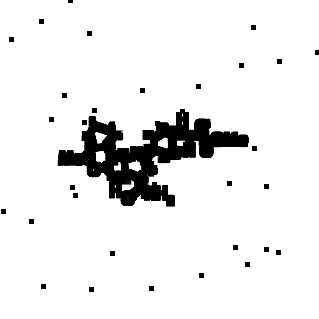 COc1ccccc1-n1c(=O)[nH]c2c(C(N)=O)nc(-c3ccc4[nH]c(S(=O)(=O)OC)nc4c3)nc21